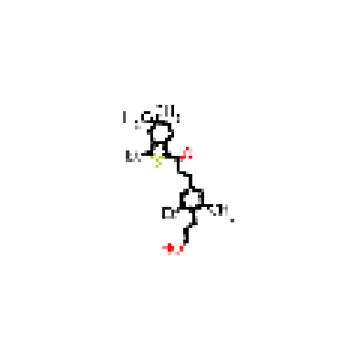 CCc1cc(CCC(=O)c2sc(CC)c3c2CCC(C)(C)C3)cc(C)c1CCCO